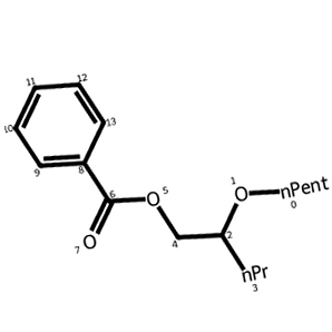 CCCCCOC(CCC)COC(=O)c1ccccc1